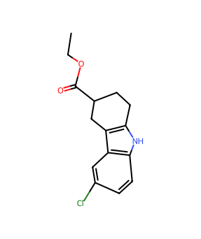 CCOC(=O)C1CCc2[nH]c3ccc(Cl)cc3c2C1